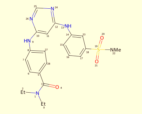 CCN(CC)C(=O)c1ccc(Nc2cc(Nc3cccc(S(=O)(=O)NC)c3)ncn2)cc1